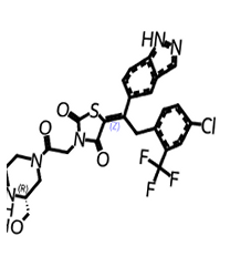 O=C(CN1C(=O)S/C(=C(/Cc2ccc(Cl)cc2C(F)(F)F)c2ccc3[nH]ncc3c2)C1=O)N1CCN[C@@H](CO)C1